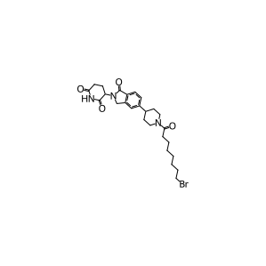 O=C1CCC(N2Cc3cc(C4CCN(C(=O)CCCCCCCBr)CC4)ccc3C2=O)C(=O)N1